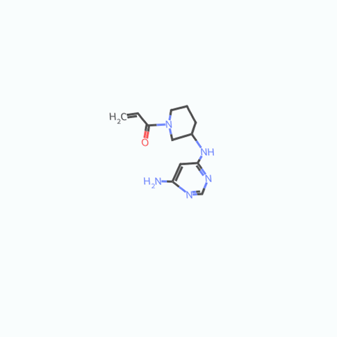 C=CC(=O)N1CCCC(Nc2cc(N)ncn2)C1